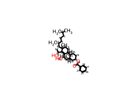 CC(C)CCC[C@@H](C)[C@H]1C[C@H](O)C2=C3[C@H](O)C[C@H]4C[C@@H](OC(=O)c5ccccc5)CC[C@]4(C)[C@H]3CC[C@@]21C